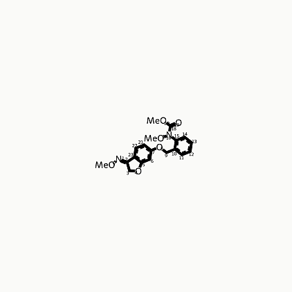 CO/N=C1\COc2cc(OCc3ccccc3N(OC)C(=O)OC)ccc21